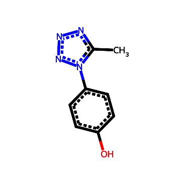 Cc1nnnn1-c1ccc(O)cc1